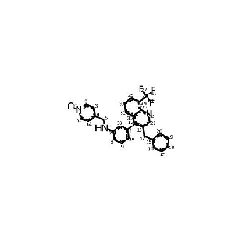 [O-][n+]1ccc(CNc2cccc(-c3c(Cc4ccccc4)cnc4c(C(F)(F)F)cccc34)c2)cc1